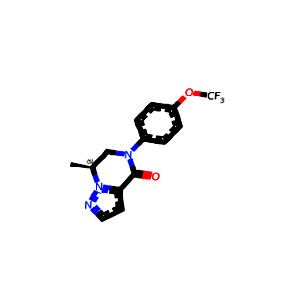 C[C@H]1CN(c2ccc(OC(F)(F)F)cc2)C(=O)c2ccnn21